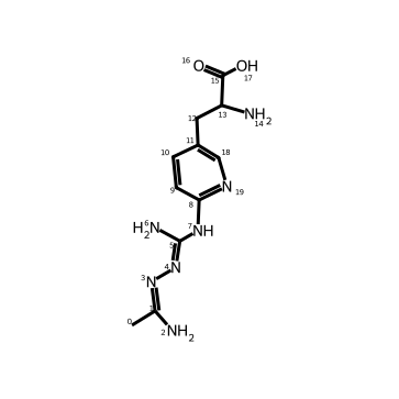 C/C(N)=N/N=C(\N)Nc1ccc(CC(N)C(=O)O)cn1